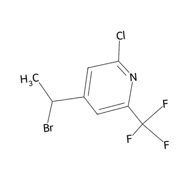 CC(Br)c1cc(Cl)nc(C(F)(F)F)c1